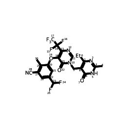 CCc1nc(C)[nH]c(=O)c1Cn1cnc(C(F)(F)C(F)(F)F)c(Oc2cc(C(F)F)cc(C#N)c2C)c1=O